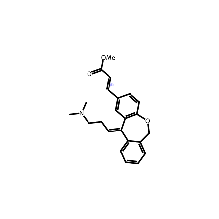 COC(=O)/C=C/c1ccc2c(c1)C(=CCCN(C)C)c1ccccc1CO2